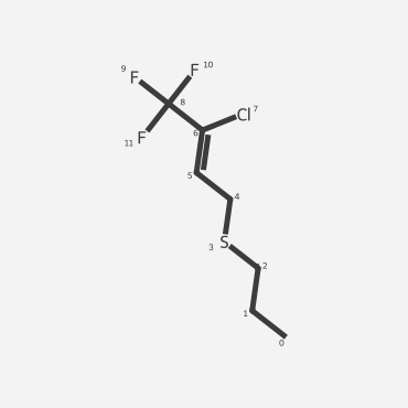 CC[CH]SC/C=C(\Cl)C(F)(F)F